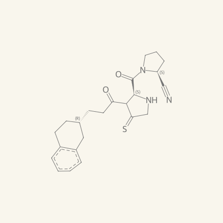 N#C[C@@H]1CCCN1C(=O)[C@H]1NCC(=S)C1C(=O)CC[C@H]1CCc2ccccc2C1